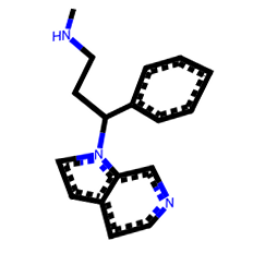 CNCCC(c1ccccc1)n1ccc2ccncc21